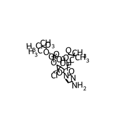 CC(C)(C)C(=O)OCOP(=O)(OCOC(=O)C(C)(C)C)OC1[C@@]2(CCl)O[C@@H](n3ccc(N)nc3=O)[C@H](F)[C@@]12O